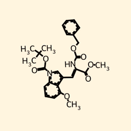 COC(=O)/C(=C/c1cn(C(=O)OC(C)(C)C)c2cccc(OC)c12)NC(=O)OCc1ccccc1